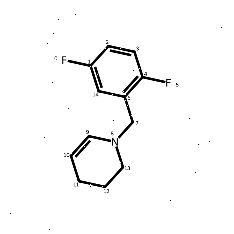 Fc1ccc(F)c(CN2C=CCCC2)c1